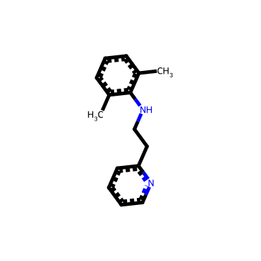 Cc1cccc(C)c1NCCc1ccccn1